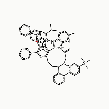 C=C1CC2C(CCc3cc(-c4ccccc4)c4c(oc5ccccc54)c3-c3n(-c4c(C(C)C)cc(-c5ccccc5)cc4C(C)C)c4ccc(C)nc4[n+]31)c1ccccc1-c1ccc([Si](C)(C)C)c[n+]12